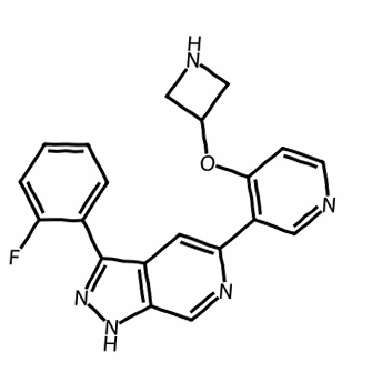 Fc1ccccc1-c1n[nH]c2cnc(-c3cnccc3OC3CNC3)cc12